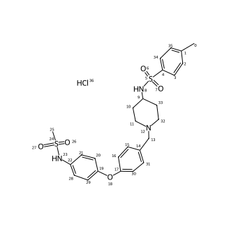 Cc1ccc(S(=O)(=O)NC2CCN(Cc3ccc(Oc4ccc(NS(C)(=O)=O)cc4)cc3)CC2)cc1.Cl